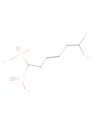 CC(N)CCCCC([PH](=O)O)P(=O)(O)O